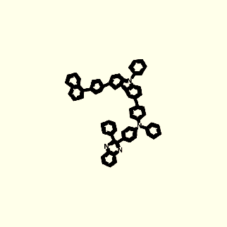 c1ccc(-c2nc3ccccc3nc2-c2ccc(N(c3ccccc3)c3ccc(-c4ccc5c(c4)c4cc(-c6ccc(-c7cccc8ccccc78)cc6)ccc4n5-c4ccccc4)cc3)cc2)cc1